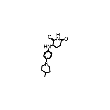 CC1CCN(c2ccc(NC3CCC(=O)NC3=O)cc2)CC1